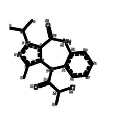 Cc1nn(C(C)C)c2c1N(C(=O)C(C)Cl)c1ccccc1NC2=O